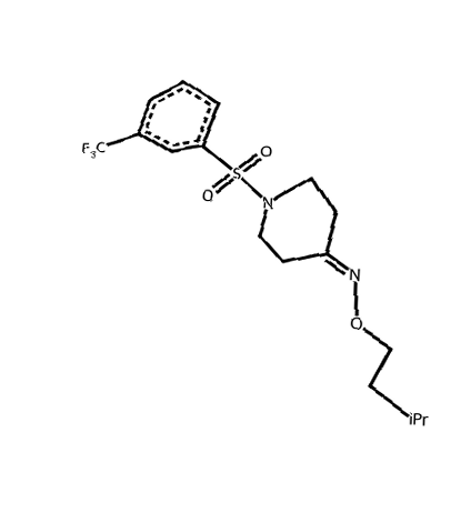 CC(C)CCON=C1CCN(S(=O)(=O)c2cccc(C(F)(F)F)c2)CC1